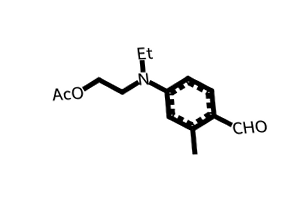 CCN(CCOC(C)=O)c1ccc(C=O)c(C)c1